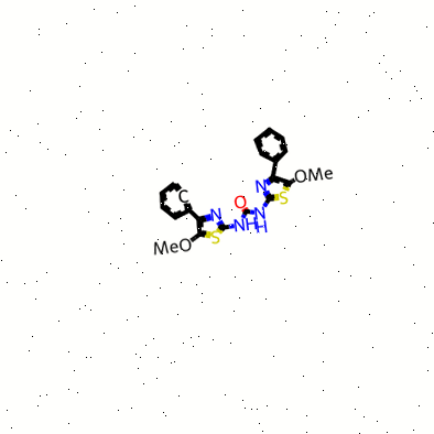 COc1sc(NC(=O)Nc2nc(-c3ccccc3)c(OC)s2)nc1-c1ccccc1